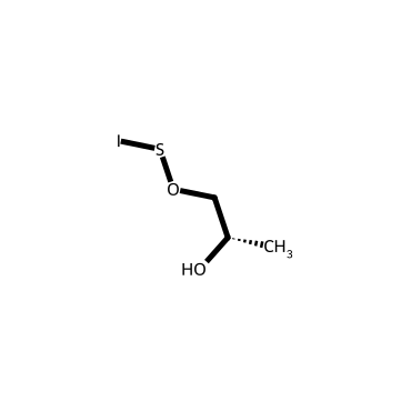 C[C@H](O)COSI